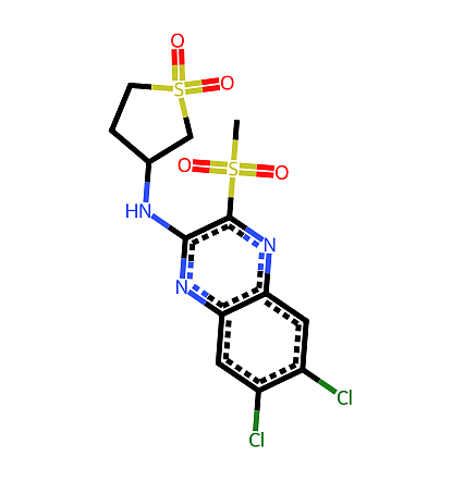 CS(=O)(=O)c1nc2cc(Cl)c(Cl)cc2nc1NC1CCS(=O)(=O)C1